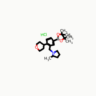 CC1CCCN1Cc1cc(B2OC(C)(C)C(C)(C)O2)ccc1C1CCOCC1.Cl